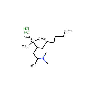 CCCCCCCCCCCCCCCC(CC(CCC)N(C)C)[Si](OC)(OC)OC.Cl.Cl